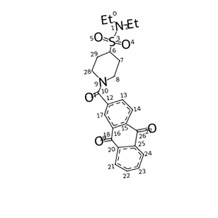 CCN(CC)S(=O)(=O)C1CCN(C(=O)c2ccc3c(c2)C(=O)c2ccccc2C3=O)CC1